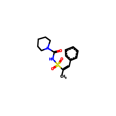 CC(=Cc1ccccc1)S(=O)(=O)NC(=O)N1CCCCC1